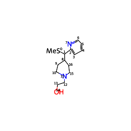 CSC(c1ccccn1)C1CCN(CCO)CC1